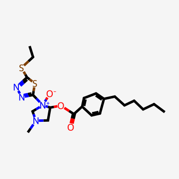 CCCCCCc1ccc(C(=O)OC2CN(C)C[N+]2([O-])c2nnc(SCC)s2)cc1